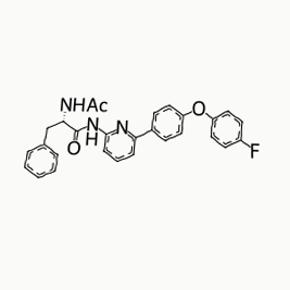 CC(=O)N[C@@H](Cc1ccccc1)C(=O)Nc1cccc(-c2ccc(Oc3ccc(F)cc3)cc2)n1